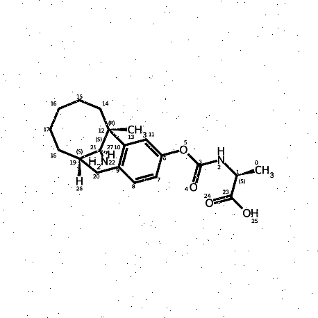 C[C@H](NC(=O)Oc1ccc2c(c1)[C@@]1(C)CCCCC[C@@H](C2)[C@@H]1N)C(=O)O